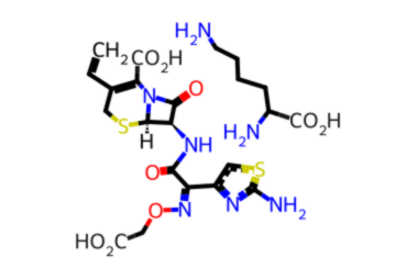 C=CC1=C(C(=O)O)N2C(=O)[C@@H](NC(=O)/C(=N\OCC(=O)O)c3csc(N)n3)[C@H]2SC1.NCCCCC(N)C(=O)O